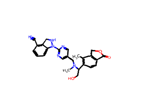 Cc1c(C(CO)N(C)Cc2cnc(N3NCc4c(C#N)cccc43)nc2)ccc2c1COC2=O